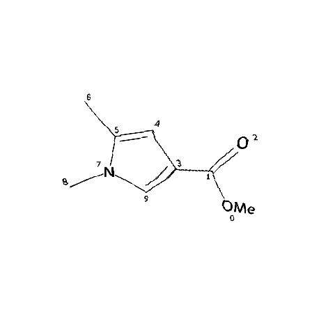 COC(=O)c1cc(C)n(C)c1